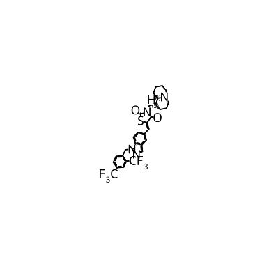 O=C1SC(=Cc2ccc3c(cnn3Cc3ccc(C(F)(F)F)cc3C(F)(F)F)c2)C(=O)N1C[C@@H]1CCCN2CCCC[C@H]12